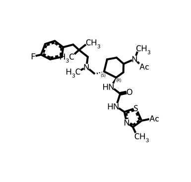 CC(=O)c1sc(NC(=O)N[C@@H]2CC(N(C)C(C)=O)CC[C@H]2CN(C)CC(C)(C)Cc2ccc(F)cc2)nc1C